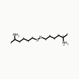 CC(N)CCCCSSCCCCC(C)N